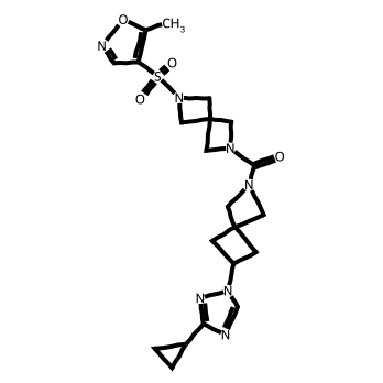 Cc1oncc1S(=O)(=O)N1CC2(CN(C(=O)N3CC4(CC(n5cnc(C6CC6)n5)C4)C3)C2)C1